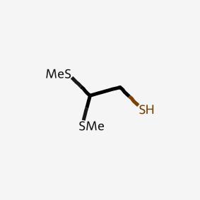 CSC(CS)SC